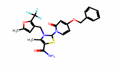 CC1=C(C(N)=O)SC(n2ccc(OCc3ccccc3)cc2=O)N1Cc1cc(C)oc1C(F)(F)F